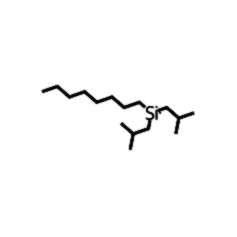 CCCCCCCC[Si](CC(C)C)CC(C)C